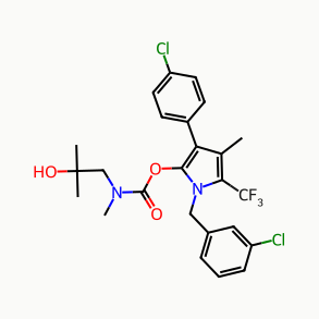 Cc1c(-c2ccc(Cl)cc2)c(OC(=O)N(C)CC(C)(C)O)n(Cc2cccc(Cl)c2)c1C(F)(F)F